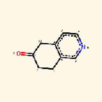 O=C1CCc2cnccc2C1